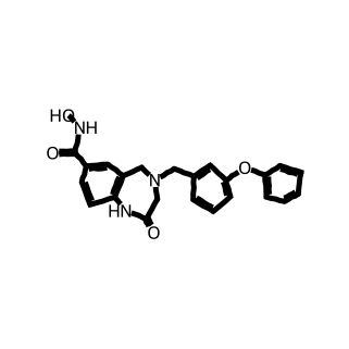 O=C1CN(Cc2cccc(Oc3ccccc3)c2)Cc2cc(C(=O)NO)ccc2N1